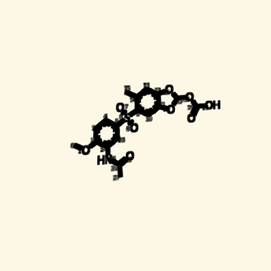 COc1ccc(S(=O)(=O)c2cc3c(cc2C)OC(OC(=O)O)O3)cc1NC(C)=O